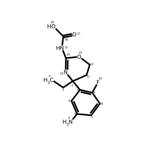 CCC1(c2cc(N)ccc2F)CCOC(NC(=O)O)=N1